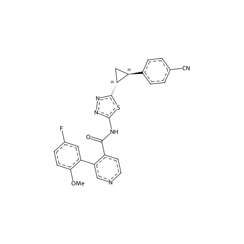 COc1ccc(F)cc1-c1cnccc1C(=O)Nc1nnc([C@@H]2C[C@H]2c2ccc(C#N)cc2)s1